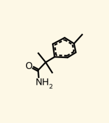 Cc1ccc(C(C)(C)C(N)=O)cc1